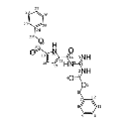 N=C(NC(=O)OCc1ccccc1)NC(=O)c1ccc(C(=O)OCc2ccccc2)[nH]1